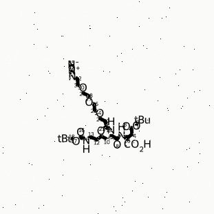 CC(C)(C)OC(=O)C[C@H](NC(=O)[C@H](CCCCNC(=O)OC(C)(C)C)NC(=O)CCOCCOCCOCCN=[N+]=[N-])C(=O)O